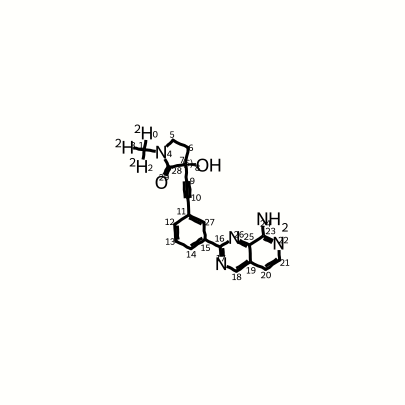 [2H]C([2H])([2H])N1CC[C@](O)(C#Cc2cccc(-c3ncc4ccnc(N)c4n3)c2)C1=O